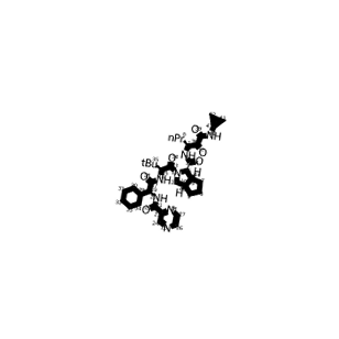 CCC[C@H](NC(=O)[C@@H]1[C@@H]2CCC[C@@H]2CN1C(=O)[C@@H](NC(=O)[C@@H](NC(=O)c1cnccn1)C1CCCCC1)C(C)(C)C)C(=O)C(=O)NC1CC1